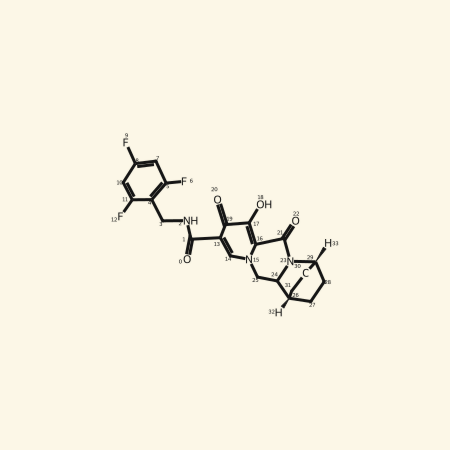 O=C(NCc1c(F)cc(F)cc1F)c1cn2c(c(O)c1=O)C(=O)N1C(C2)[C@H]2CC[C@@H]1CC2